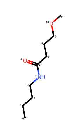 CCCCNC(=O)CCCOC